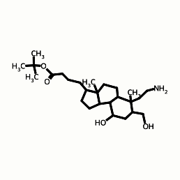 CC(C)(C)OC(=O)CCCC1CCC2C3C(O)CC(CO)C(C)(CCN)C3CCC12C